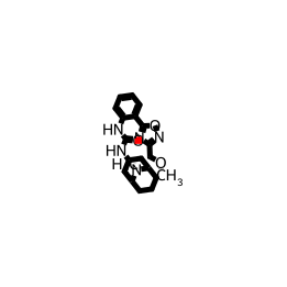 COCc1noc(-c2ccccc2NC(=O)NC2CC3CCCC(C2)N3C)n1